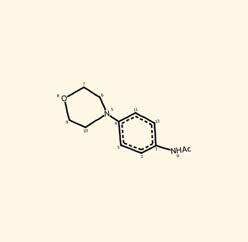 [CH2]C(=O)Nc1ccc(N2CCOCC2)cc1